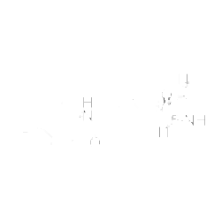 O=C(Nc1ccc(F)cc1)c1ccc([C@@H]2O[C@H]3CN[C@@H]2C3)cc1